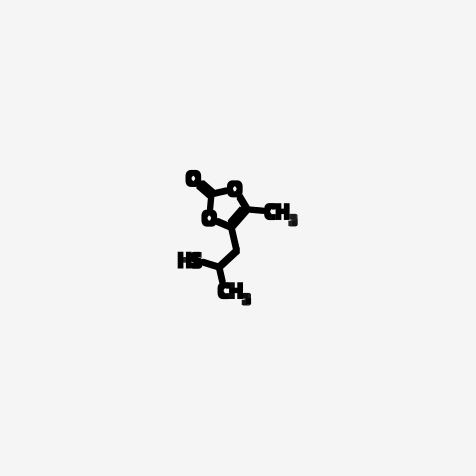 Cc1oc(=O)oc1CC(C)S